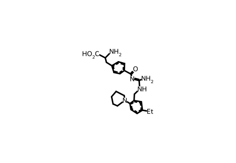 CCc1ccc(N2CCCCC2)c(CNC(N)=NC(=O)c2ccc(CC(N)C(=O)O)cc2)c1